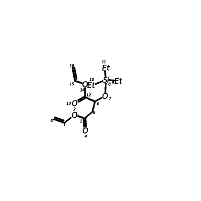 C=COC(=O)CC(O[Si](CC)(CC)CC)C(=O)OC=C